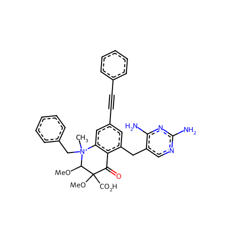 COC1C(OC)(C(=O)O)C(=O)c2c(Cc3cnc(N)nc3N)cc(C#Cc3ccccc3)cc2[N+]1(C)Cc1ccccc1